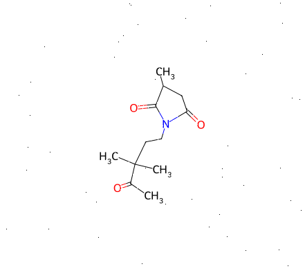 CC(=O)C(C)(C)CCN1C(=O)CC(C)C1=O